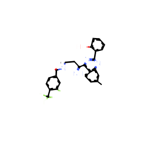 Cc1ccc2c(C(=N)C[C@@H](C)NC(=O)c3ccc(C(F)(F)F)c(F)c3)nc(-c3ccccc3O)nc2c1